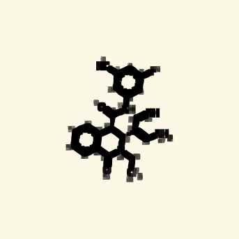 N#Cc1cc(F)cc(NC(=O)[C@@H]2c3ccccc3C(=O)N(CC(F)(F)F)[C@H]2/C(C=N)=C/N)c1